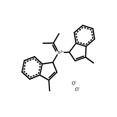 CC1=C[CH]([Ti+2](=[C](C)C)[CH]2C=C(C)c3ccccc32)c2ccccc21.[Cl-].[Cl-]